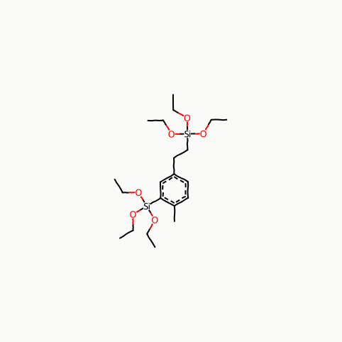 CCO[Si](CCc1ccc(C)c([Si](OCC)(OCC)OCC)c1)(OCC)OCC